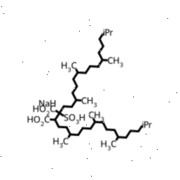 CC(C)CCCC(C)CCCC(C)CCCC(C)CCC(C(=O)O)C(CCC(C)CCCC(C)CCCC(C)CCCC(C)C)(C(=O)O)S(=O)(=O)O.[NaH]